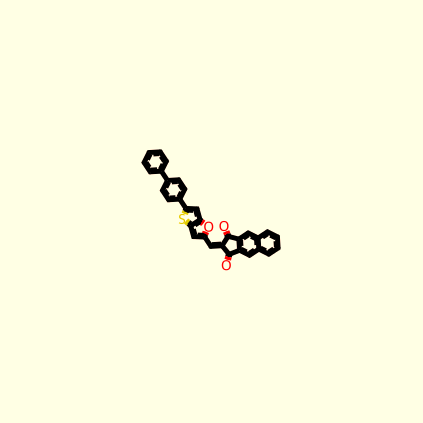 O=C1C(=Cc2cc3sc(-c4ccc(-c5ccccc5)cc4)cc3o2)C(=O)c2cc3ccccc3cc21